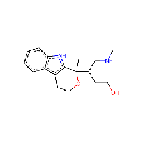 CNCC(CCO)C1(C)OCCc2c1[nH]c1ccccc21